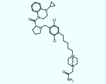 NC(=O)C[N+]12CC[N+](CCCCCc3cc(Cl)c(CN4CCC[C@H]4C(=O)N4CCN(C5CC5)c5ccccc54)cc3Cl)(CC1)CC2